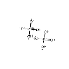 O=P(O)(O)O.[O-][Cl+3]([O-])([O-])O